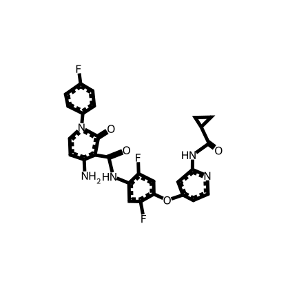 Nc1ccn(-c2ccc(F)cc2)c(=O)c1C(=O)Nc1cc(F)c(Oc2ccnc(NC(=O)C3CC3)c2)cc1F